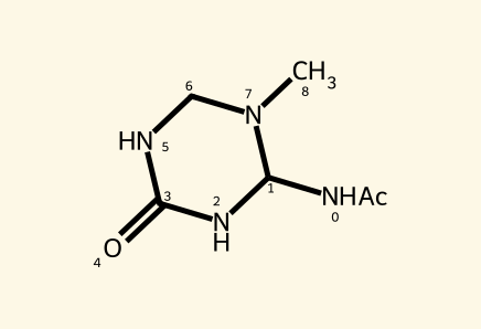 CC(=O)NC1NC(=O)NCN1C